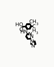 Cc1cc(Nc2ccc(-n3ccnc3)nn2)c(C(=O)O)cc1C